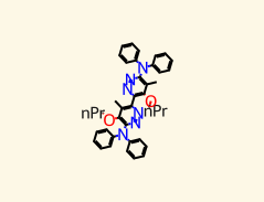 CCCOc1c(-c2nnc(N(c3ccccc3)c3ccccc3)c(OCCC)c2C)nnc(N(c2ccccc2)c2ccccc2)c1C